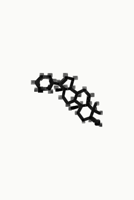 CC1(C)C(=O)CC[C@@]2(C)C1=CCC1C2CC[C@]2(C)C(c3cccnc3)=CCC12